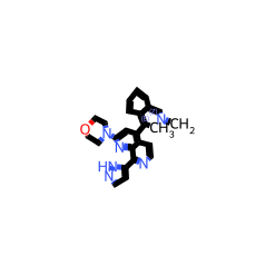 C=N/C=c1/cccc/c1=C(/C)c1cc(N2CCOCC2)nc2c(-c3ccn[nH]3)nccc12